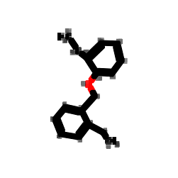 CCc1ccccc1COc1ccccc1CC